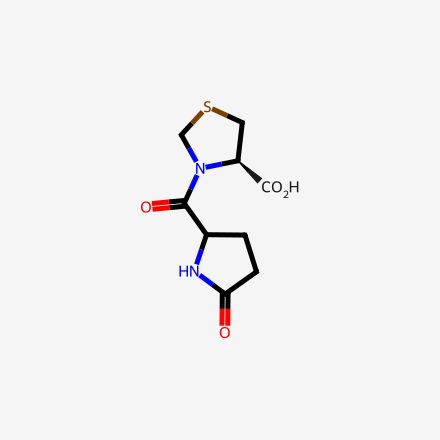 O=C1CCC(C(=O)N2CSC[C@H]2C(=O)O)N1